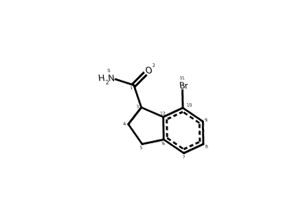 NC(=O)C1CCc2cccc(Br)c21